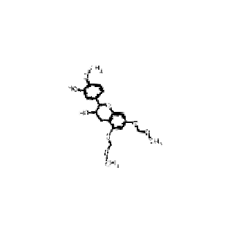 COCOc1cc(OCOC)c2c(c1)OC(c1ccc(OC)c(O)c1)C(O)C2